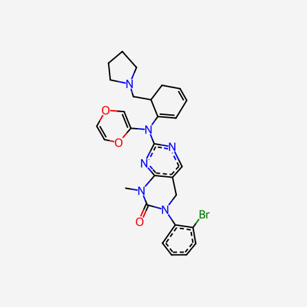 CN1C(=O)N(c2ccccc2Br)Cc2cnc(N(C3=COC=CO3)C3=CC=CCC3CN3CCCC3)nc21